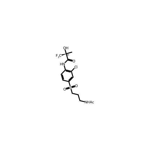 CC(=O)NCCCS(=O)(=O)c1ccc(NC(=O)[C@@](C)(O)C(F)(F)F)c(Cl)c1